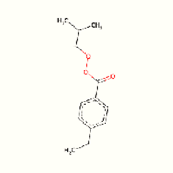 CCc1ccc(C(=O)OO[CH]C(C)C)cc1